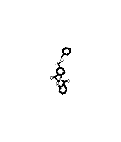 O=C(OCc1ccccc1)c1ccc2c(c1)C(=O)c1nc3ccccc3c(=O)n1-2